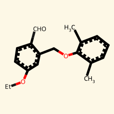 CCOc1ccc(C=O)c(COc2c(C)cccc2C)c1